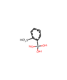 O=S(=O)(O)c1ccccc1[Si](O)(O)O